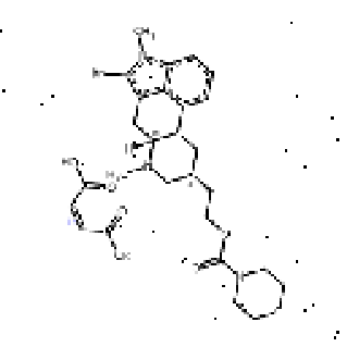 CN1C[C@H](CCOC(=O)N2CCOCC2)CC2c3cccc4c3c(c(Br)n4C)C[C@H]21.O=C(O)/C=C\C(=O)O